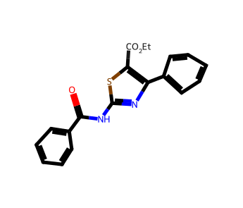 CCOC(=O)c1sc(NC(=O)c2ccccc2)nc1-c1ccccc1